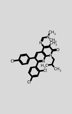 Cc1c(/N=C\N(C)C)c2cc(-c3ccc(Cl)cc3)c(-c3ccc(Cl)cc3Cl)nc2n(CC(C)C)c1=O